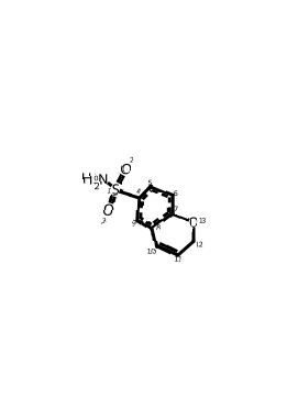 NS(=O)(=O)c1ccc2c(c1)C=CCO2